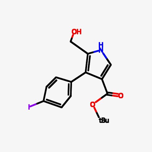 CC(C)(C)OC(=O)c1c[nH]c(CO)c1-c1ccc(I)cc1